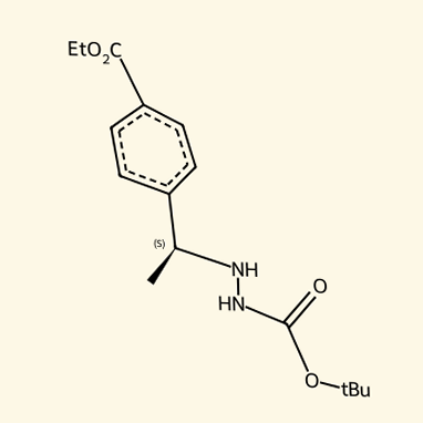 CCOC(=O)c1ccc([C@H](C)NNC(=O)OC(C)(C)C)cc1